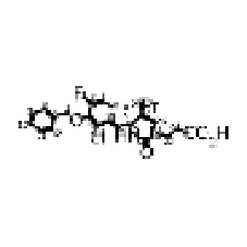 C\C=C(F)/C(OCc1ccccc1)=C(Cl)\C=C\[C@]1(C)NC(=O)N(CCC(=O)O)C=C1C(C)C